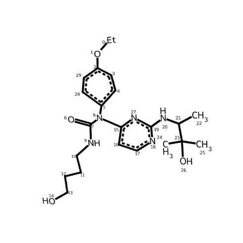 CCOc1ccc(N(C(=O)NCCCCO)c2ccnc(NC(C)C(C)(C)O)n2)cc1